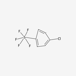 FS(F)(F)(F)(F)c1c[c]c(Cl)cc1